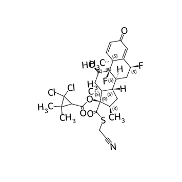 C[C@@H]1C[C@H]2[C@@H]3C[C@H](F)C4=CC(=O)C=C[C@]4(C)[C@@]3(F)[C@H](O)C[C@]2(C)[C@@]1(OC(=O)C1C(C)(C)C1(Cl)Cl)C(=O)SCC#N